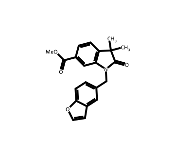 COC(=O)c1ccc2c(c1)N(Cc1ccc3occc3c1)C(=O)C2(C)C